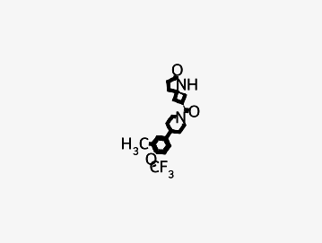 Cc1cc(C2CCN(C(=O)[C@H]3C[C@]4(CCC(=O)N4)C3)CC2)ccc1OC(F)(F)F